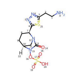 NCCc1nnc([C@@H]2CC[C@H]3CN2C(=O)N3OS(=O)(=O)O)s1